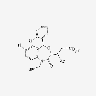 CC(=O)N(CC(=O)O)[C@@H]1O[C@H](c2ccccc2Cl)c2cc(Cl)ccc2N(CC(C)(C)C)C1=O